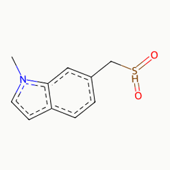 Cn1ccc2ccc(C[SH](=O)=O)cc21